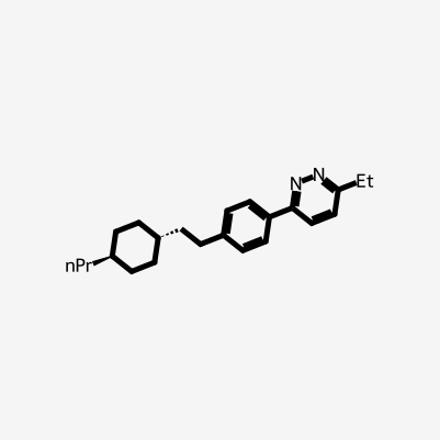 CCC[C@H]1CC[C@H](CCc2ccc(-c3ccc(CC)nn3)cc2)CC1